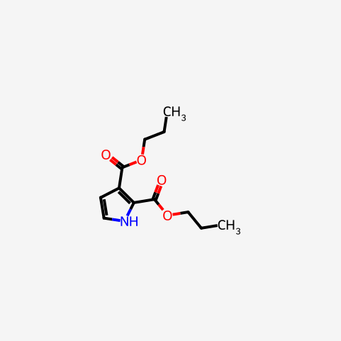 CCCOC(=O)c1cc[nH]c1C(=O)OCCC